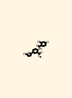 COC(=O)c1cc(-c2ccc(Cl)s2)ccc1NC(=O)c1ccc(Cl)cc1Cl